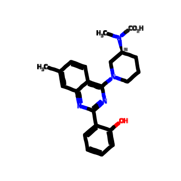 Cc1ccc2c(N3CCC[C@H](N(C)C(=O)O)C3)nc(-c3ccccc3O)nc2c1